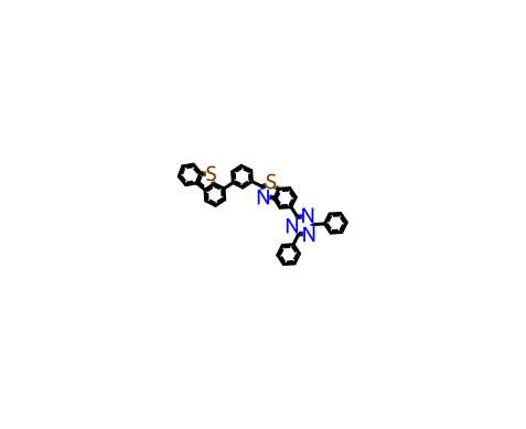 c1ccc(-c2nc(-c3ccccc3)nc(-c3ccc4sc(-c5cccc(-c6cccc7c6sc6ccccc67)c5)nc4c3)n2)cc1